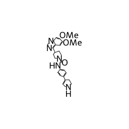 COc1cc2ncnc(C3CCN(C(=O)Nc4ccc(C5=CCNCC5)cc4)CC3)c2cc1OC